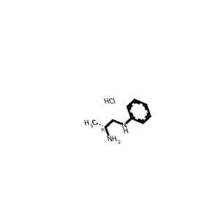 C[C@@H](N)CNc1ccccc1.Cl